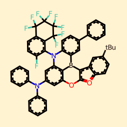 CC(C)(C)c1ccc2oc3c(c2c1)B1c2cc(-c4ccccc4)ccc2N(c2c(F)ccc4c2C(F)(F)C(F)(F)C(F)(F)C4(F)F)c2cc(N(c4ccccc4)c4ccccc4)cc(c21)O3